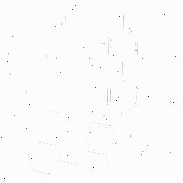 COCCC1=CN(c2ccc(C(=O)O)cc2)C(=O)N[C@@]1(C)c1ccc(CC2CCCCC2)c(Cl)c1